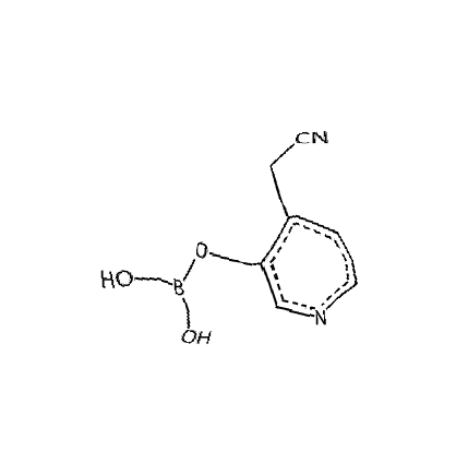 N#CCc1ccncc1OB(O)O